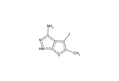 Cc1sc2[nH]nc(N)c2c1I